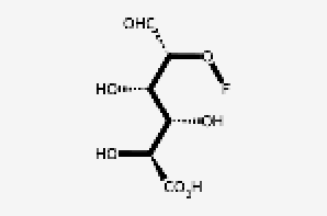 O=C[C@H](OF)[C@@H](O)[C@H](O)[C@H](O)C(=O)O